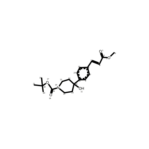 COC(=O)C=Cc1ccc(C2(O)CCN(C(=O)OC(C)(C)C)CC2)cc1